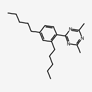 CCCCCc1ccc(-c2nc(C)nc(C)n2)c(CCCCC)c1